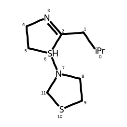 CC(C)CC1=NCC[SH]1N1CCSC1